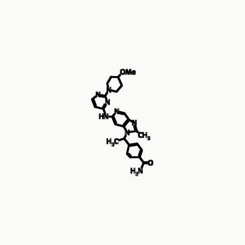 COC1CCN(c2nccc(Nc3cc4c(cn3)nc(C)n4C(C)c3ccc(C(N)=O)cc3)n2)CC1